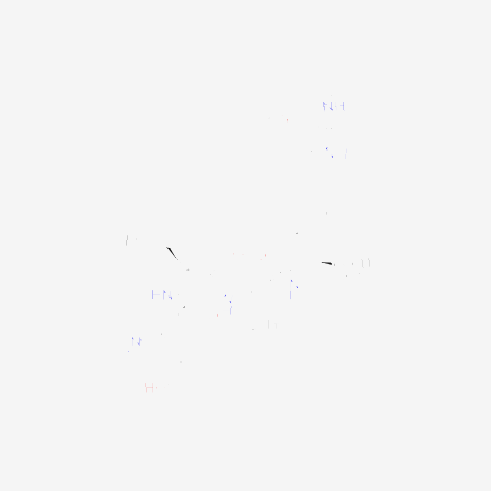 CC(C)C[C@H](NC(=O)[C@@H](N)CO)C(=O)N[C@H](C(=O)N[C@@H](CCCNC(N)=O)C(=O)O)C(C)C